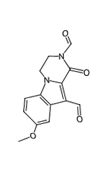 COc1ccc2c(c1)c(C=O)c1n2CCN(C=O)C1=O